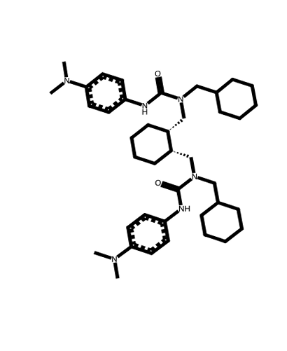 CN(C)c1ccc(NC(=O)N(CC2CCCCC2)C[C@H]2CCCC[C@H]2CN(CC2CCCCC2)C(=O)Nc2ccc(N(C)C)cc2)cc1